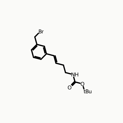 CC(C)(C)OC(=O)NCC/C=C/c1cccc(CBr)c1